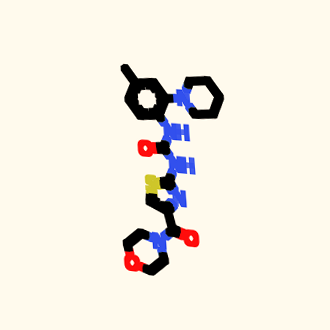 Cc1ccc(NC(=O)Nc2nc(C(=O)N3CCOCC3)cs2)c(N2CCCCC2)c1